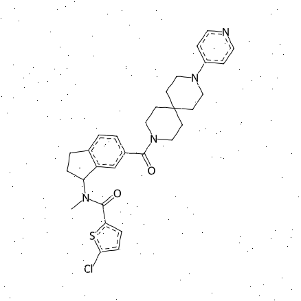 CN(C(=O)c1ccc(Cl)s1)C1CCc2ccc(C(=O)N3CCC4(CC3)CCN(c3ccncc3)CC4)cc21